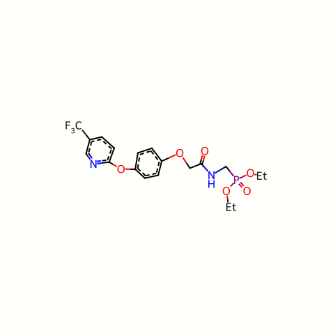 CCOP(=O)(CNC(=O)COc1ccc(Oc2ccc(C(F)(F)F)cn2)cc1)OCC